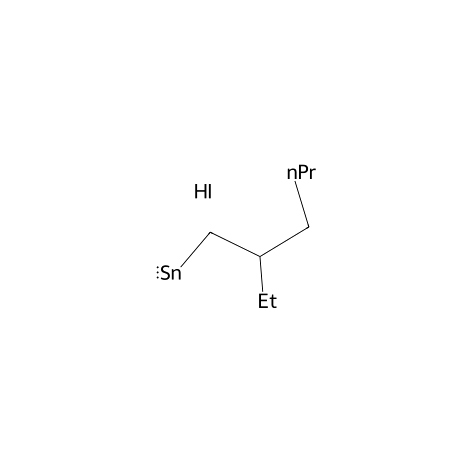 CCCCC(CC)[CH2][Sn].I